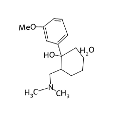 COc1cccc(C2(O)CCCCC2CN(C)C)c1.O